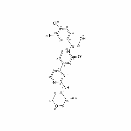 O=c1cc(-c2ccnc(N[C@H]3CCOC[C@H]3F)n2)ccn1C(CO)c1ccc(Cl)c(F)c1